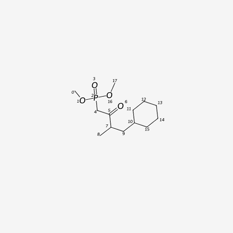 COP(=O)(CC(=O)C(C)CC1CCCCC1)OC